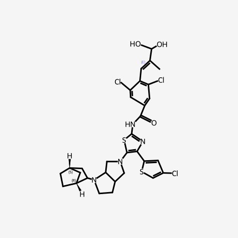 C/C(=C\c1c(Cl)cc(C(=O)Nc2nc(-c3cc(Cl)cs3)c(N3CC4CCN(C5C[C@H]6CC[C@@H]5C6)C4C3)s2)cc1Cl)C(O)O